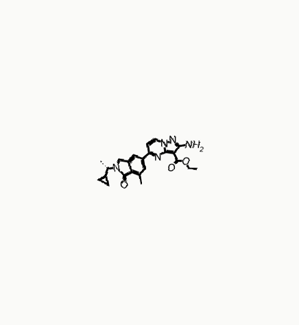 CCOC(=O)c1c(N)nn2ccc(-c3cc(C)c4c(c3)CN([C@@H](C)C3CC3)C4=O)nc12